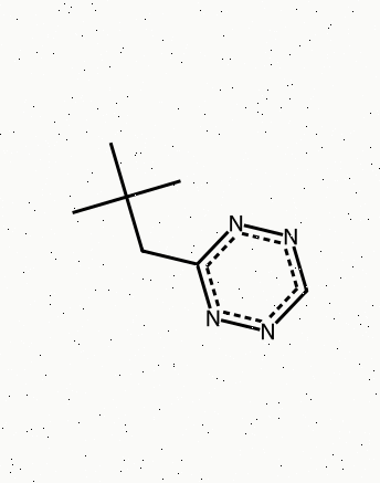 CC(C)(C)Cc1nncnn1